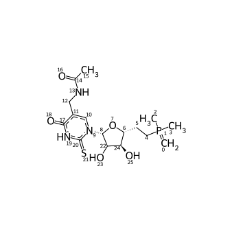 C=P(C)(C)CC[C@H]1O[C@@H](n2cc(CNC(C)=O)c(=O)[nH]c2=S)C(O)[C@@H]1O